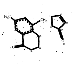 Cc1cc(C)c2c(c1)C(=O)CCC2.O=C1C=CCC1